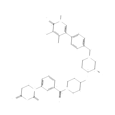 CCCn1cc(-c2ccc(CN3CC[C@@H](OC4CCN(C(=O)c5cccc(N6CCC(=O)NC6=O)c5)CC4)[C@H](F)C3)cc2)c(C)c(C)c1=O